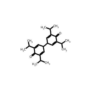 CC(C)C1=CC(C2C=C(C(C)C)C(=O)C(C(C)C)=C2)C=C(C(C)C)C1=O